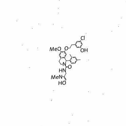 CN/C(=C\O)CNC(=O)N1CCc2cc(OC)c(OCCc3cc(O)cc(Cl)c3)cc2C1c1ccc(C)cc1C